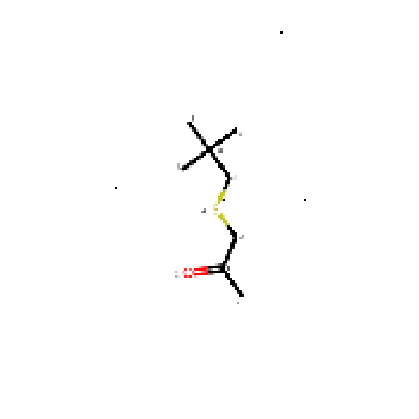 CC(=O)CSCC(C)(C)C